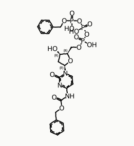 O=C(Nc1ccn([C@H]2C[C@@H](O)[C@@H](COP(=O)(O)OP(=O)(O)OP(=O)(O)OCc3ccccc3)O2)c(=O)n1)OCc1ccccc1